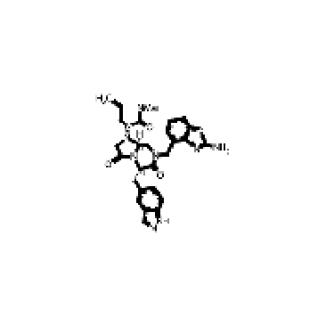 C=CCN(C(=O)NC)N1CC(=O)N2[C@@H](Cc3ccc4[nH]ncc4c3)C(=O)N(Cc3cccc4sc(N)nc34)C[C@@H]21